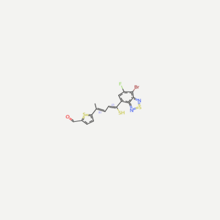 C/C(=C\C=C(/S)c1cc(F)c(Br)c2nsnc12)c1ccc(C=O)s1